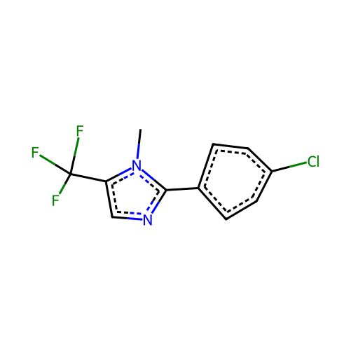 Cn1c(C(F)(F)F)cnc1-c1ccc(Cl)cc1